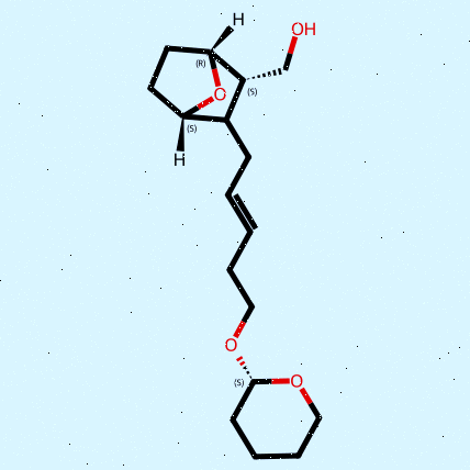 OC[C@@H]1C(CC=CCCO[C@H]2CCCCO2)[C@@H]2CC[C@H]1O2